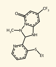 CCSc1cccnc1C1Nc2cc(C(F)(F)F)cc(=O)n2N1C